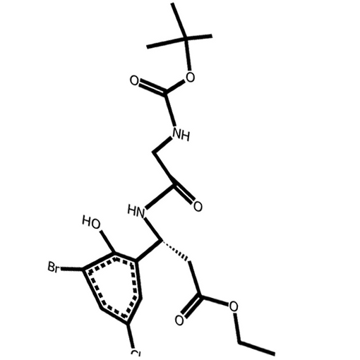 CCOC(=O)C[C@@H](NC(=O)CNC(=O)OC(C)(C)C)c1cc(Cl)cc(Br)c1O